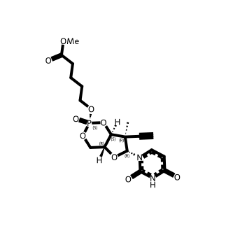 C#C[C@]1(C)[C@@H]2O[P@@](=O)(OCCCCC(=O)OC)OC[C@H]2O[C@H]1n1ccc(=O)[nH]c1=O